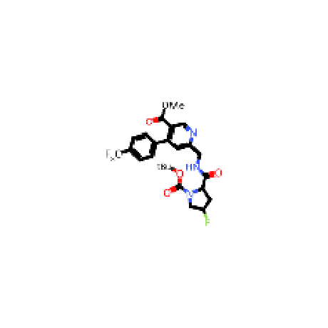 COC(=O)c1cnc(CNC(=O)C2CC(F)CN2C(=O)OC(C)(C)C)cc1-c1ccc(C(F)(F)F)cc1